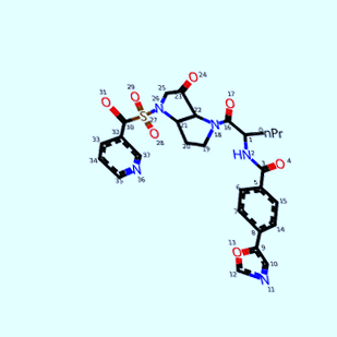 CCCC(NC(=O)c1ccc(-c2cnco2)cc1)C(=O)N1CCC2C1C(=O)CN2S(=O)(=O)C(=O)c1cccnc1